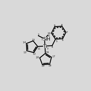 C[SiH](C)[Ti]([CH2]c1ccccc1)([C]1=CC=CC1)[C]1=CC=CC1